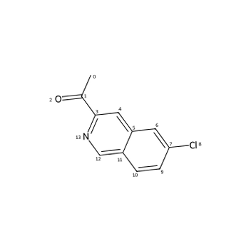 CC(=O)c1cc2cc(Cl)ccc2cn1